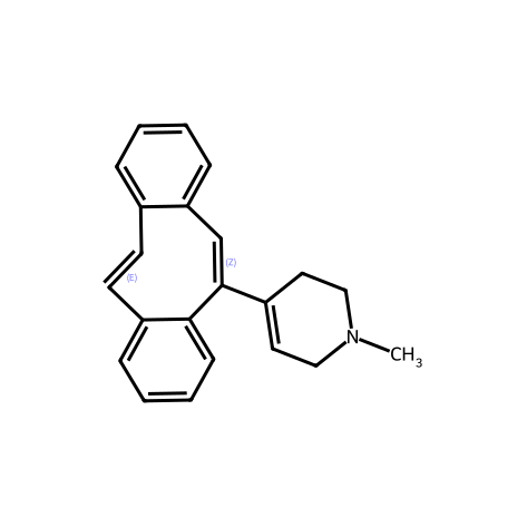 CN1CC=C(/C2=C/c3ccccc3/C=C/c3ccccc32)CC1